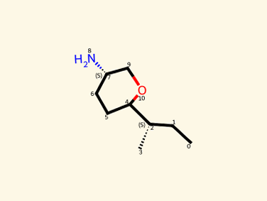 CC[C@H](C)C1CC[C@H](N)CO1